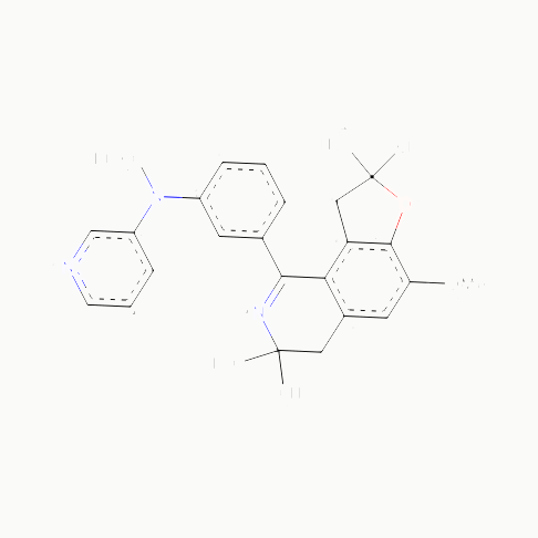 CCOC(=O)N(c1cccnc1)c1cccc(C2=NC(C)(C)Cc3cc(OC)c4c(c32)CC(C)(C)O4)c1